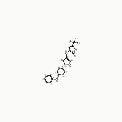 Cn1nc(C(F)(F)F)cc1OC1=NO[C@H](c2ccc(Oc3ccccc3)cc2)C1